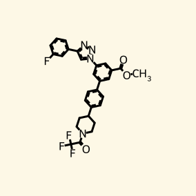 COC(=O)c1cc(-c2ccc(C3CCN(C(=O)C(F)(F)F)CC3)cc2)cc(-n2cc(-c3cccc(F)c3)nn2)c1